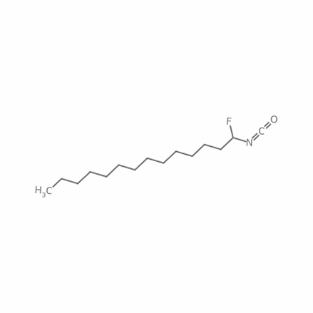 CCCCCCCCCCCCCC(F)N=C=O